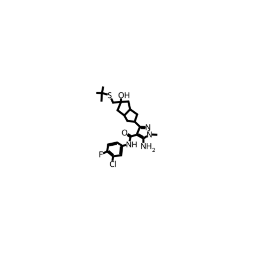 Cn1nc(C2CC3CC(O)(CSC(C)(C)C)CC3C2)c(C(=O)Nc2ccc(F)c(Cl)c2)c1N